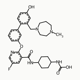 CN1CCCN(Cc2cc(O)ccc2-c2cccc(Oc3ncc(F)cc3C(=O)NC3CCC(NC(=O)O)CC3)c2)CC1